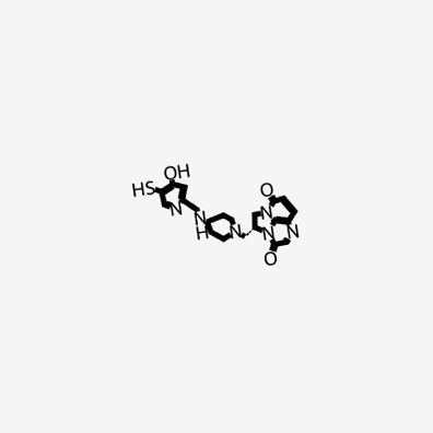 O=c1ccc2ncc(=O)n3c2n1C[C@H]3CN1CCC(NCc2cc(O)c(S)cn2)CC1